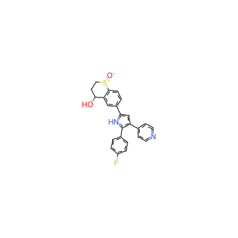 [O-][S+]1CCC(O)c2cc(-c3cc(-c4ccncc4)c(-c4ccc(F)cc4)[nH]3)ccc21